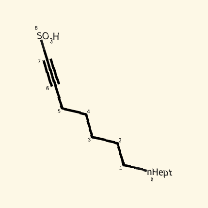 CCCCCCCCCCCCC#CS(=O)(=O)O